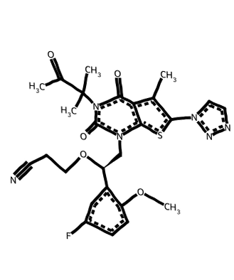 COc1ccc(F)cc1[C@H](Cn1c(=O)n(C(C)(C)C(C)=O)c(=O)c2c(C)c(-n3ccnn3)sc21)OCCC#N